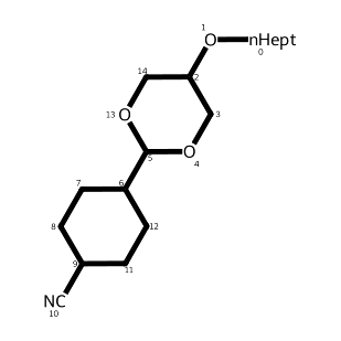 CCCCCCCOC1COC(C2CCC(C#N)CC2)OC1